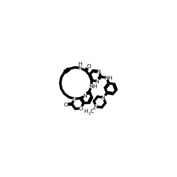 CN1CCN(c2cccc(Nc3ncc4c(n3)Nc3ccc5c(n3)N(CCCCCC#CCNC4=O)C(=O)CO5)c2)CC1